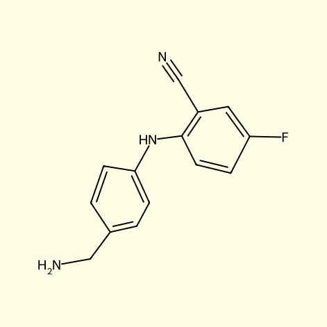 N#Cc1cc(F)ccc1Nc1ccc(CN)cc1